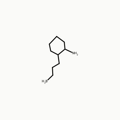 BCCCC1CCCCC1N